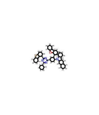 c1ccc(-c2nc(-c3ccc(-n4c5ccccc5c5cc6ccccc6cc54)c(-c4cccc5c4oc4ccccc45)c3)nc(-c3cccc4sc5ccccc5c34)n2)cc1